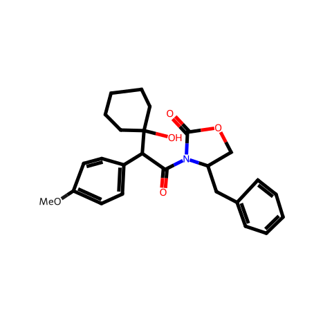 COc1ccc(C(C(=O)N2C(=O)OCC2Cc2ccccc2)C2(O)CCCCC2)cc1